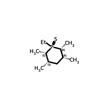 CCP1(=S)[C@H](C)[C@H](C)C[C@H](C)[C@@H]1C